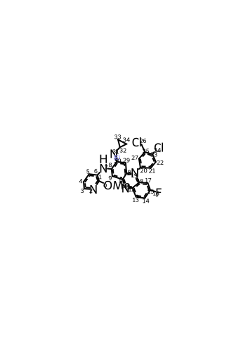 COc1ncccc1Nc1cc2nc3ccc(F)cc3n(-c3ccc(Cl)c(Cl)c3)c-2c/c1=N\C1CC1